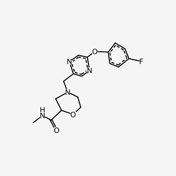 CNC(=O)C1CN(Cc2cnc(Oc3ccc(F)cc3)cn2)CCO1